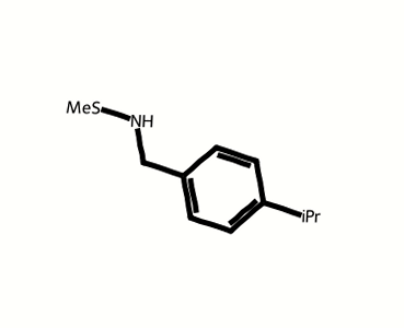 CSNCc1ccc(C(C)C)cc1